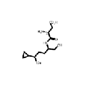 CC(C)(C)C(CCC(CO)NC(=O)[C@@H](N)CC(=O)O)C1CC1